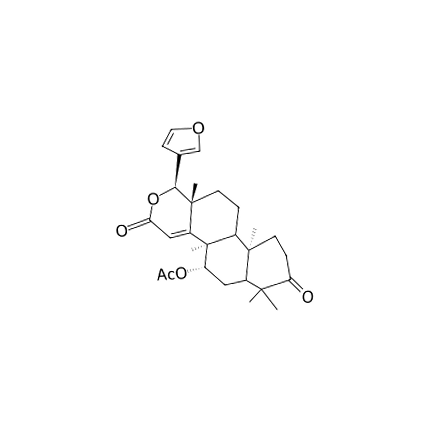 CC(=O)O[C@H]1CC2C(C)(C)C(=O)CC[C@]2(C)C2CC[C@]3(C)C(=CC(=O)O[C@H]3c3ccoc3)[C@@]21C